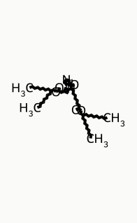 CCCCCCCCCC(CCCCCCCCC)COC(=O)CCCCCCCN(C(=O)n1ccnc1)C1CC(CC(=O)OCC(CCCCCCCC)CCCCCCCC)C1